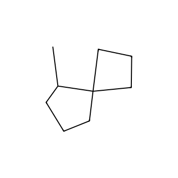 CC1CCCC12CCC2